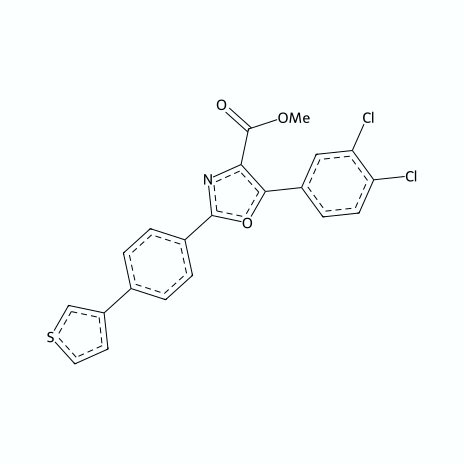 COC(=O)c1nc(-c2ccc(-c3ccsc3)cc2)oc1-c1ccc(Cl)c(Cl)c1